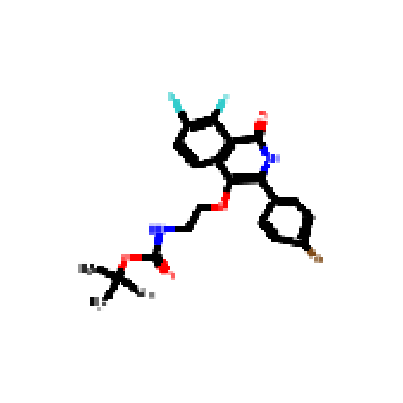 CC(C)(C)OC(=O)NCCOc1c(-c2ccc(Br)cc2)[nH]c(=O)c2c(F)c(F)ccc12